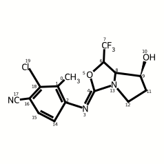 Cc1c(/N=C2\OC(C(F)(F)F)C3[C@@H](O)CCN23)ccc(C#N)c1Cl